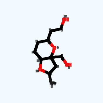 CCCC1CC2(CO)OC(CCO)CCC2O1